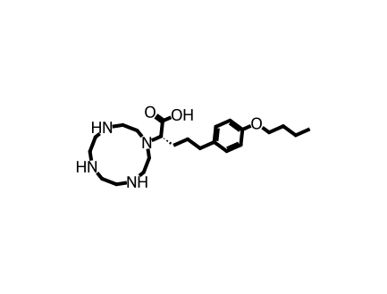 CCCCOc1ccc(CCC[C@@H](C(=O)O)N2CCNCCNCCNCC2)cc1